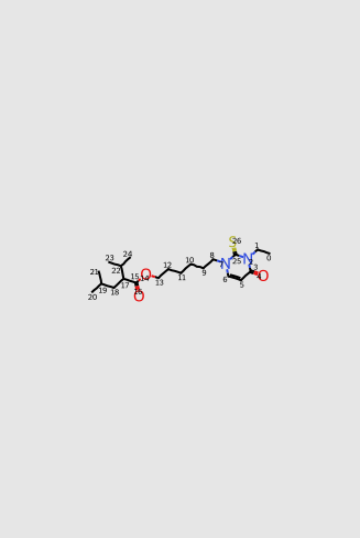 CCn1c(=O)ccn(CCCCCCOC(=O)C(CC(C)C)C(C)C)c1=S